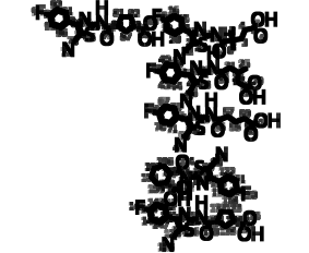 CC(C)(CCC(=O)O)C(=O)Nc1nc(-c2ccc(F)cc2)c(C#N)s1.CC(CC(=O)O)CC(=O)Nc1nc(-c2ccc(F)cc2)c(C#N)s1.N#Cc1sc(NC(=O)CCCC(=O)O)nc1-c1ccc(F)cc1.N#Cc1sc(NC(=O)[C@@H]2CC[C@H](C(=O)O)C2)nc1-c1ccc(F)cc1.N#Cc1sc(NC(=O)[C@H]2CCCC[C@H]2C(=O)O)nc1-c1ccc(F)cc1.N#Cc1sc(NC(=O)[C@H]2CC[C@H](C(=O)O)C2)nc1-c1ccc(F)cc1